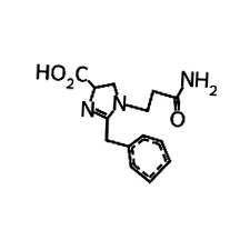 NC(=O)CCN1CC(C(=O)O)N=C1Cc1ccccc1